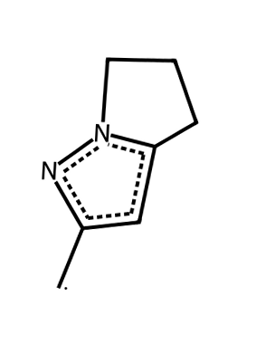 [CH2]c1cc2n(n1)CCC2